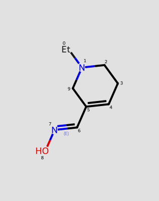 CCN1CCC=C(/C=N/O)C1